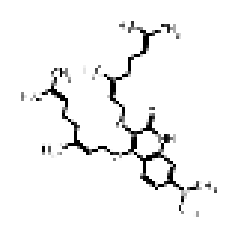 CC(C)=CCCC(C)=CCOc1c(OCC=C(C)CCC=C(C)C)c2ccc(N(C)C)cc2[nH]c1=O